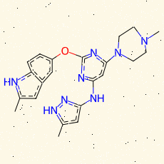 Cc1cc(Nc2cc(N3CCN(C)CC3)nc(Oc3ccc4[nH]c(C)cc4c3)n2)n[nH]1